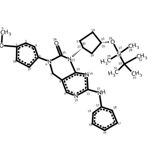 COc1ccc(N2Cc3cnc(Nc4ccccc4)nc3N([C@@H]3CC[C@H](O[Si](C)(C)C(C)(C)C)C3)C2=O)cc1